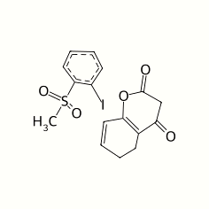 CS(=O)(=O)c1ccccc1I.O=C1CC(=O)C2=C(C=CCC2)O1